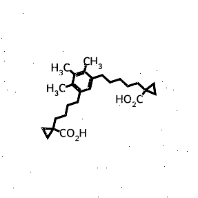 Cc1c(CCCCCC2(C(=O)O)CC2)cc(CCCCC2(C(=O)O)CC2)c(C)c1C